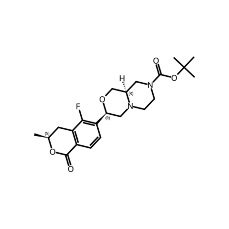 C[C@H]1Cc2c(ccc([C@@H]3CN4CCN(C(=O)OC(C)(C)C)C[C@@H]4CO3)c2F)C(=O)O1